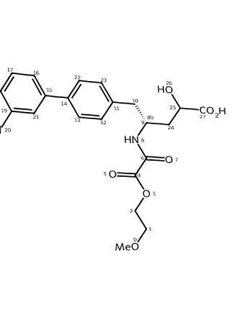 COCCOC(=O)C(=O)N[C@H](Cc1ccc(-c2cccc(Cl)c2)cc1)CC(O)C(=O)O